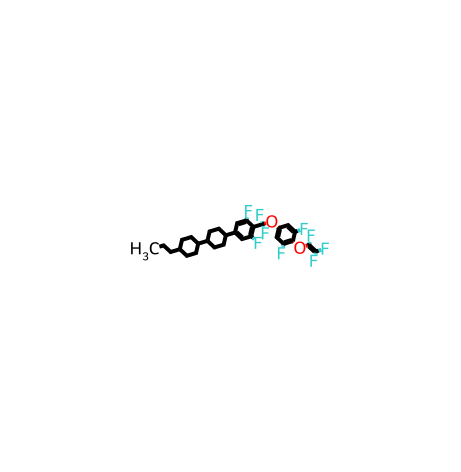 CCCC1CCC(C2CCC(c3cc(F)c(C(F)(F)Oc4cc(F)c(OC(F)=C(F)F)c(F)c4)c(F)c3)CC2)CC1